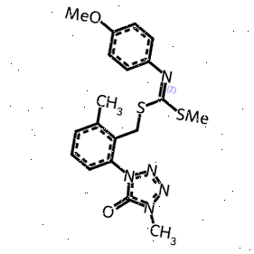 COc1ccc(/N=C(/SC)SCc2c(C)cccc2-n2nnn(C)c2=O)cc1